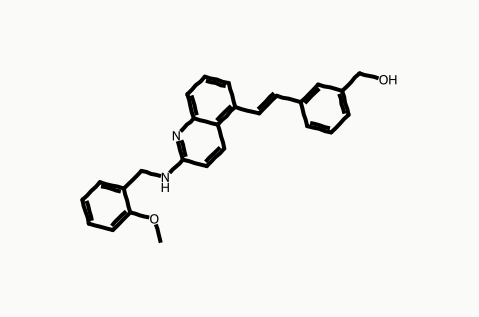 COc1ccccc1CNc1ccc2c(/C=C/c3cccc(CO)c3)cccc2n1